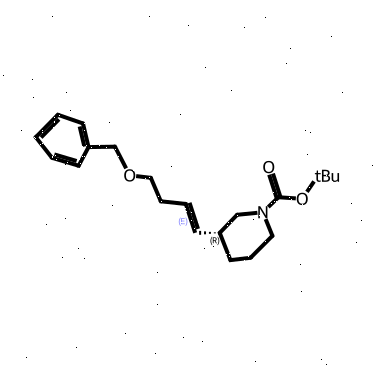 CC(C)(C)OC(=O)N1CCC[C@H](/C=C/CCOCc2ccccc2)C1